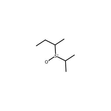 CCC(C)[S+]([O-])C(C)C